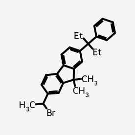 CCC(CC)(c1ccccc1)c1ccc2c(c1)C(C)(C)c1cc(C(C)Br)ccc1-2